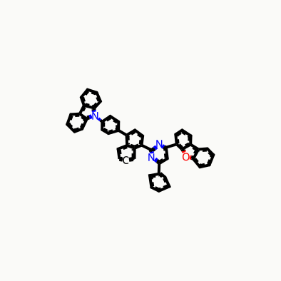 c1ccc(-c2cc(-c3cccc4c3oc3ccccc34)nc(-c3ccc(-c4ccc(-n5c6ccccc6c6ccccc65)cc4)c4ccccc34)n2)cc1